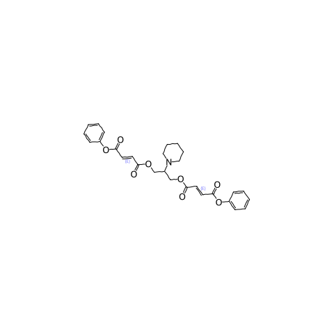 O=C(/C=C/C(=O)Oc1ccccc1)OCC(COC(=O)/C=C/C(=O)Oc1ccccc1)N1CCCCC1